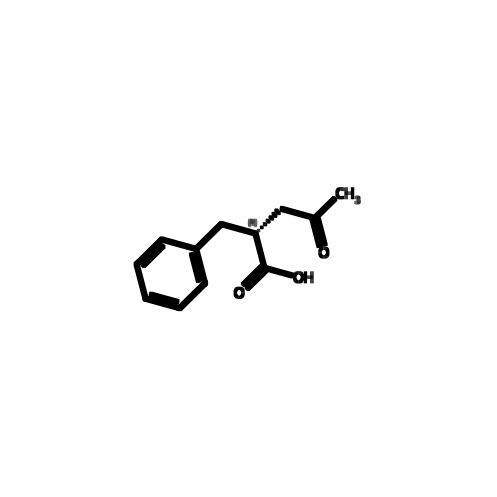 CC(=O)C[C@@H](Cc1ccccc1)C(=O)O